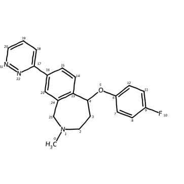 CN1CCC(Oc2ccc(F)cc2)c2ccc(-c3cccnn3)cc2C1